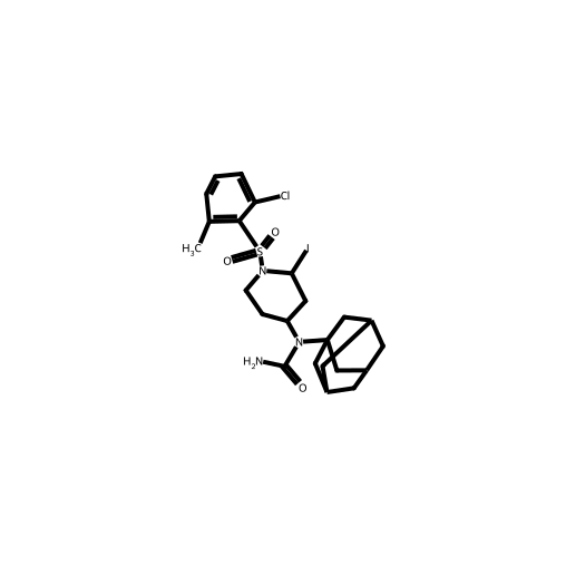 Cc1cccc(Cl)c1S(=O)(=O)N1CCC(N(C(N)=O)C23CC4CC(CC(C4)C2)C3)CC1I